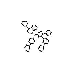 c1ccc(-c2ccc(N(c3ccc4c(c3)sc3ccccc34)c3ccc(-c4ccccc4)c4ccccc34)cc2-c2cccc3c2sc2ccccc23)cc1